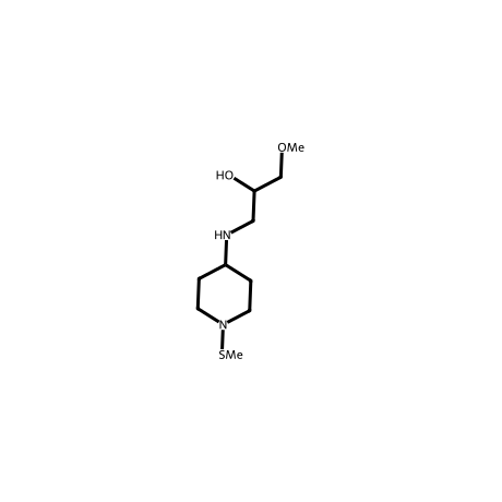 COCC(O)CNC1CCN(SC)CC1